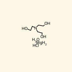 Cl.O.OCCN(CCO)CCO.[MgH2]